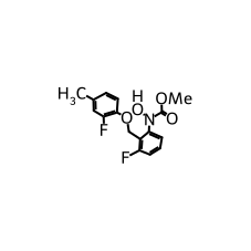 COC(=O)N(O)c1cccc(F)c1COc1ccc(C)cc1F